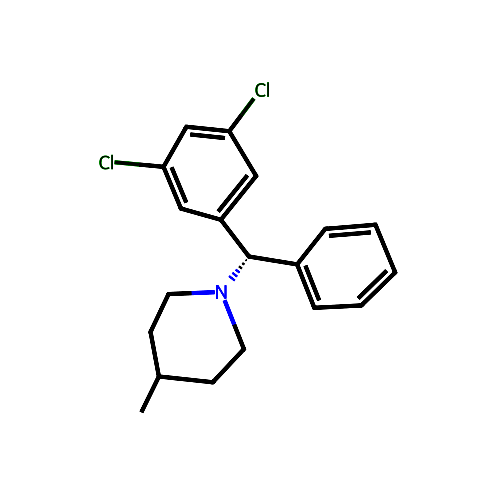 CC1CCN([C@@H](c2ccccc2)c2cc(Cl)cc(Cl)c2)CC1